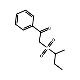 CCC(C)S(=O)(=O)CC(=O)c1ccccc1